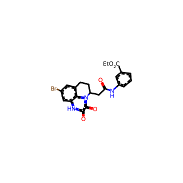 CCOC(=O)c1cccc(NC(=O)CC2CCc3cc(Br)cc4[nH]c(=O)c(=O)n2c34)c1